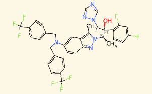 Cc1c2cc(N(Cc3ccc(C(F)(F)F)cc3)Cc3ccc(C(F)(F)F)cc3)ccc2nn1[C@H](C)[C@](O)(Cn1cncn1)c1ccc(F)cc1F